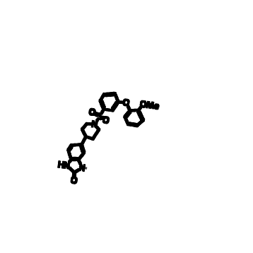 COc1ccccc1Oc1cccc(S(=O)(=O)N2CCC(c3ccc4c(c3)[N]C(=O)N4)CC2)c1